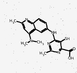 Cc1cc(N(C)C)c2cc(Nc3nc(C)nc(C(=O)O)c3S)ccc2n1